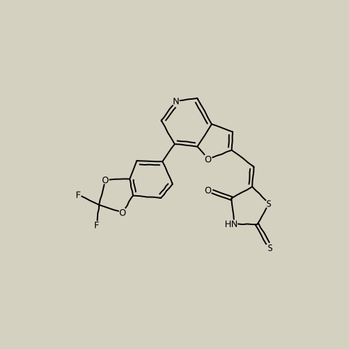 O=C1NC(=S)SC1=Cc1cc2cncc(-c3ccc4c(c3)OC(F)(F)O4)c2o1